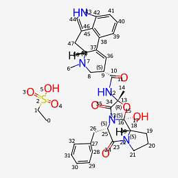 CCS(=O)(=O)O.CN1C[C@@H](C(=O)N[C@]2(C)O[C@@]3(O)[C@@H]4CCCN4C(=O)[C@H](Cc4ccccc4)N3C2=O)C=C2c3cccc4[nH]cc(c34)C[C@H]21